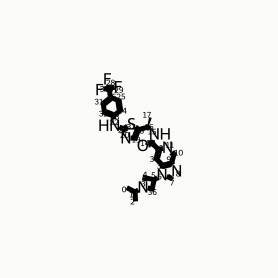 CC(C)N1CC(n2cnc3cnc(C(=O)N[C@H](C)c4cnc(Nc5ccc(C(F)(F)F)cc5)s4)cc32)C1